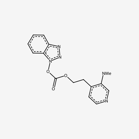 CNc1cnccc1CCOC(=O)On1nnc2ccccc21